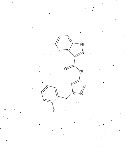 O=C(Nc1cnn(Cc2ccccc2F)c1)c1n[nH]c2ccccc12